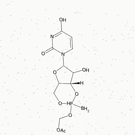 B[PH]1(OCOC(C)=O)OCC2OC(n3ccc(O)nc3=O)C(O)[C@@H]2O1